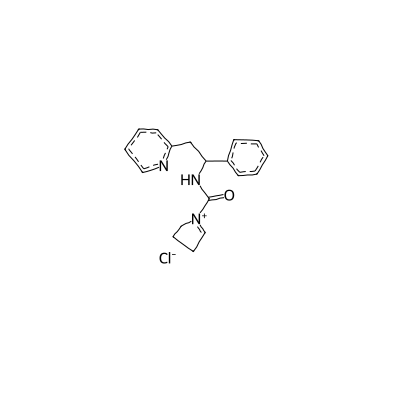 O=C(NC(Cc1ccccn1)c1ccccc1)[N+]1=CCCC1.[Cl-]